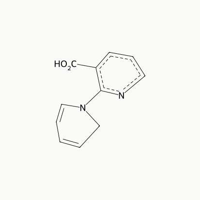 O=C(O)c1cccnc1N1C=CC=CC1